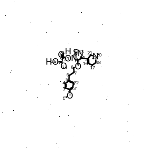 COc1ccc(CCCOc2nsnc2C2=CCCN(C)C2)cc1.O=C(O)C(=O)O